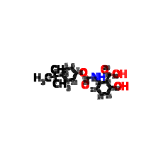 CC(C)(C)c1ccc(OC(=O)Nc2cccc(O)c2C(=O)O)cc1